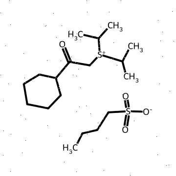 CC(C)[S+](CC(=O)C1CCCCC1)C(C)C.CCCCS(=O)(=O)[O-]